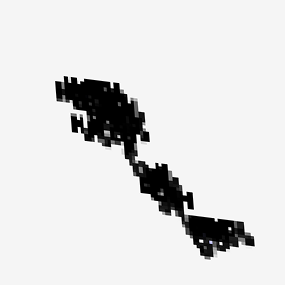 C=C(CCCCC(NCC(NC(C)C(=O)Nc1ccc(CC2C=[PH](c3cccc(C(C)(C)C(CCN)C(=O)NC(C(=C4CCC4)N(C)C(/C=C(\C)C(=O)O)C(C)C)C(C)(C)C)c3)C2)cc1)=C1CC1)=C1CCC1)CCCc1ccccc1C(/N=N\C)=C(/C)c1ccccc1CC